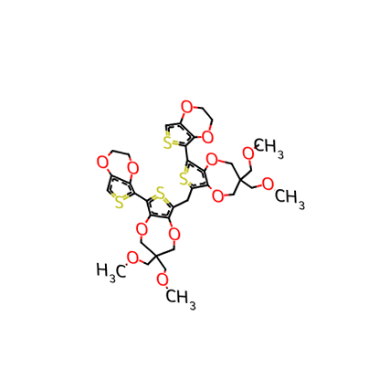 COCC1(COC)COc2c(Cc3sc(-c4scc5c4OCCO5)c4c3OCC(COC)(COC)CO4)sc(-c3scc4c3OCCO4)c2OC1